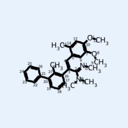 C/N=C(/C(=C\c1cc(OC)c(OC)cc1C)c1cccc(-c2ccccc2)c1C)N(C)C